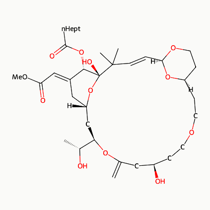 C=C1C[C@H](O)CCOCC[C@@H]2CCO[C@H](/C=C/C(C)(C)[C@]3(O)O[C@@H](C/C(=C\C(=O)OC)[C@@H]3OC(=O)CCCCCCC)C[C@H]([C@@H](C)O)O1)O2